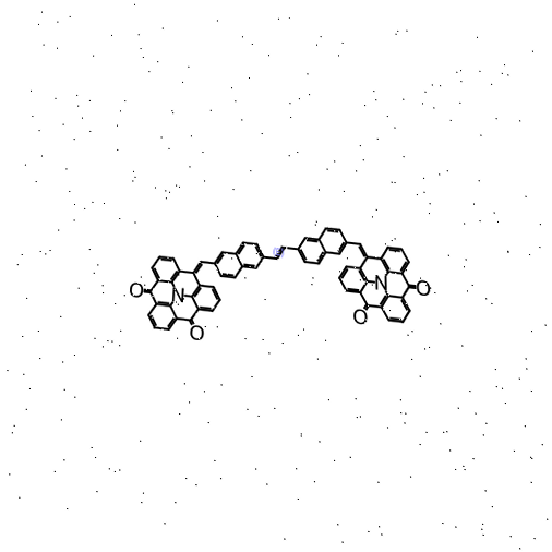 O=c1c2cccc3c(=O)c4cccc5c(=Cc6ccc7cc(/C=C/c8ccc9cc(C=c%10c%11cccc%12c(=O)c%13cccc%14c(=O)c%15cccc%10c%15n(c%13%14)c%12%11)ccc9c8)ccc7c6)c6cccc1c6n(c23)c45